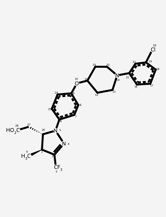 C[C@@H]1C(C(F)(F)F)=NN(c2ccc(OC3CCN(c4cccc(Cl)c4)CC3)cc2)[C@H]1CC(=O)O